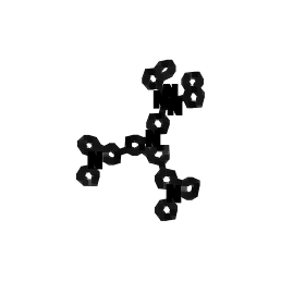 c1ccc(-n2c3ccccc3c3cc(-c4ccc5c(c4)c4cc(-c6ccc7c(c6)c6ccccc6n7-c6ccccc6)ccc4n5-c4ccc(-c5nc(-c6cccc7ccccc67)nc(-c6cccc7ccccc67)n5)cc4)ccc32)cc1